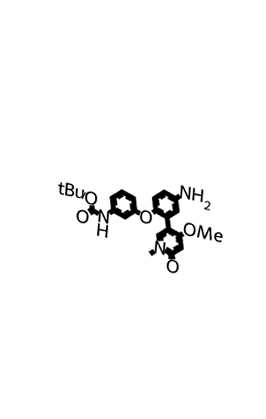 COc1cc(=O)n(C)cc1-c1cc(N)ccc1Oc1cccc(NC(=O)OC(C)(C)C)c1